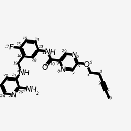 CC#CCCOc1cnc(C(=O)Nc2ccc(F)c(CNc3cccnc3N)c2)cn1